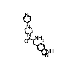 NC(Cc1ccc2[nH]ncc2c1)C(=O)N1CCN(c2ccncc2)CC1